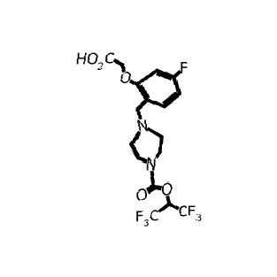 O=C(O)COc1cc(F)ccc1CN1CCN(C(=O)OC(C(F)(F)F)C(F)(F)F)CC1